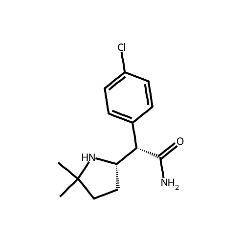 CC1(C)CC[C@@H]([C@@H](C(N)=O)c2ccc(Cl)cc2)N1